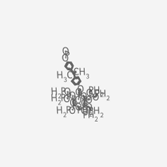 CC(C)(c1ccc(OOP(OP(OP(OP)OP)OP(OP)OP)OP(OP(OP)OP)OP(OP)OP)cc1)c1ccc(OP=O)cc1